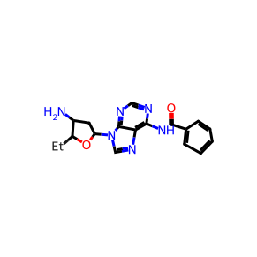 CCC1OC(n2cnc3c(NC(=O)c4ccccc4)ncnc32)CC1N